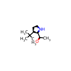 CC(=O)c1[nH]ccc1C(C)(C)C